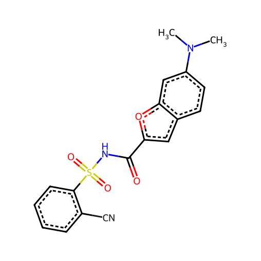 CN(C)c1ccc2cc(C(=O)NS(=O)(=O)c3ccccc3C#N)oc2c1